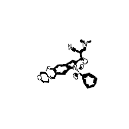 CN(C)C=C(C#N)C(=O)c1cc2cc(F)c(CN3CCOCC3)cc2n1S(=O)(=O)c1ccccc1